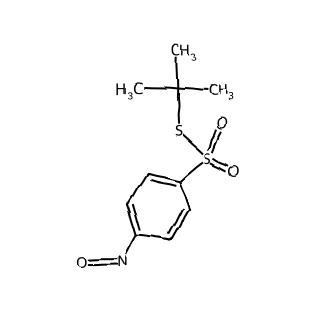 CC(C)(C)SS(=O)(=O)c1ccc(N=O)cc1